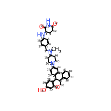 CN(Cc1ccc(NC2CCC(=O)NC2=O)cc1)C1CCN(c2ccc(C3c4ccc(O)cc4OCC3c3ccccc3)cc2)CC1